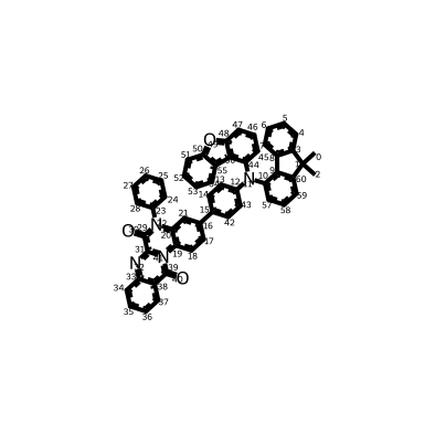 CC1(C)c2ccccc2-c2c(N(c3ccc(-c4ccc5c(c4)n(-c4ccccc4)c(=O)c4nc6ccccc6c(=O)n45)cc3)c3cccc4oc5ccccc5c34)cccc21